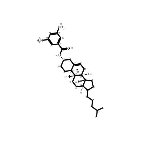 CC(C)CCCC1CC[C@H]2[C@@H]3CC=C4C[C@@H](OC(=O)c5cc(N)cc(N)c5)CC[C@]4(C)[C@H]3CC[C@]12C